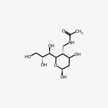 CC(=O)NC[C@@H]1C(O)C[C@@H](O)OC1[C@H](O)[C@H](O)CO